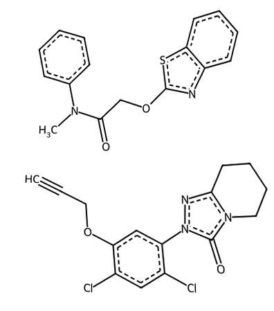 C#CCOc1cc(-n2nc3n(c2=O)CCCC3)c(Cl)cc1Cl.CN(C(=O)COc1nc2ccccc2s1)c1ccccc1